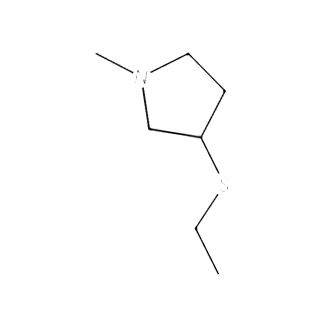 CCSC1CCN(C)C1